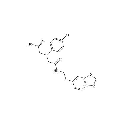 O=C(O)CC(CC(=O)NCCc1ccc2c(c1)OCO2)c1ccc(Cl)cc1